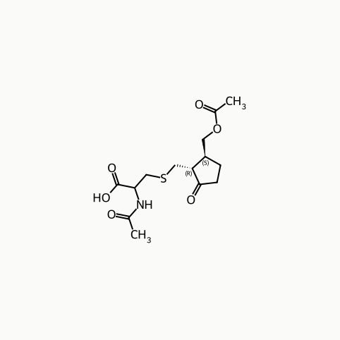 CC(=O)NC(CSC[C@H]1C(=O)CC[C@@H]1COC(C)=O)C(=O)O